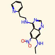 CCNc1cc2ncnc(NCCc3ccccn3)c2cc1[N+](=O)[O-]